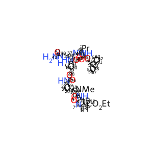 CCOC(=O)/C(C)=C/[C@H](C(C)C)N(C)C(=O)[C@@H](NC(=O)[C@H](NC)C(C)(C)c1cccc(NC(=O)OCc2ccc(NC(=O)[C@H](CCCNC(N)=O)NC(=O)[C@@H](NC(=O)OCC3c4ccccc4-c4ccccc43)C(C)C)cc2)c1)C(C)(C)C